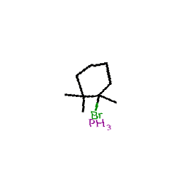 CC1(C)CCCCC1(C)Br.P